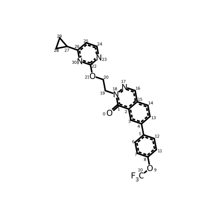 O=c1c2cc(-c3ccc(OC(F)(F)F)cc3)ccc2cnn1CCOc1nccc(C2CC2)n1